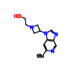 CC(C)(C)c1cc2c(cn1)ncn2C1CN(CCO)C1